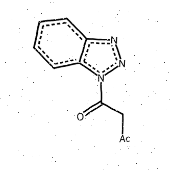 CC(=O)CC(=O)n1nnc2ccccc21